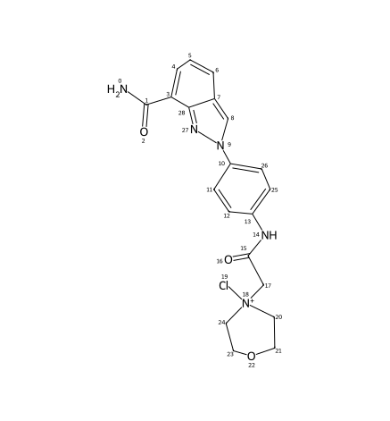 NC(=O)c1cccc2cn(-c3ccc(NC(=O)C[N+]4(Cl)CCOCC4)cc3)nc12